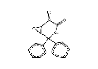 CCN1C(=O)NC(c2ccccc2)(c2ccccc2)C2OC21